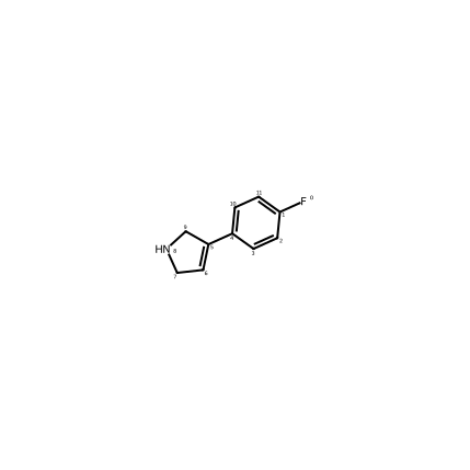 Fc1ccc(C2=CCNC2)cc1